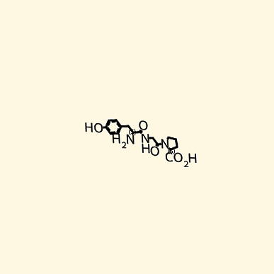 N[C@@H](Cc1ccc(O)cc1)C(=O)NCC(=O)N1CCC[C@H]1C(=O)O